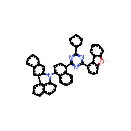 c1ccc(-c2nc(-c3ccc(N4c5cc6ccccc6cc5-c5cccc6cccc4c56)c4ccccc34)nc(-c3cccc4oc5ccccc5c34)n2)cc1